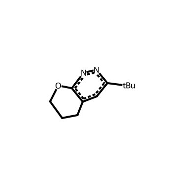 CC(C)(C)c1cc2c(nn1)OCCC2